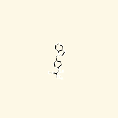 N=C(N)Nc1ccc(Cn2ccc3cnccc32)cc1